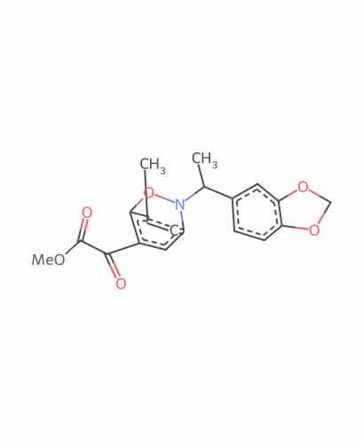 COC(=O)C(=O)c1cc2cc(C)c1ON2C(C)c1ccc2c(c1)OCO2